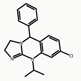 CC(C)N1C2=NCCN2C(c2ccccc2)c2ccc(Cl)cc21